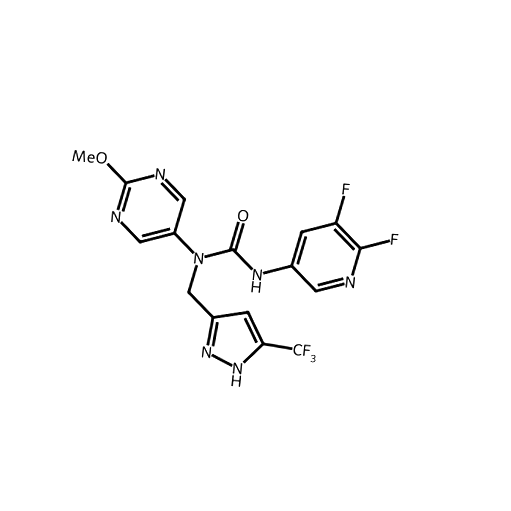 COc1ncc(N(Cc2cc(C(F)(F)F)[nH]n2)C(=O)Nc2cnc(F)c(F)c2)cn1